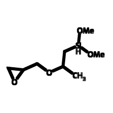 CO[SiH](CC(C)OCC1CO1)OC